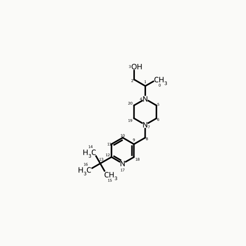 CC(CO)N1CCN(Cc2ccc(C(C)(C)C)nc2)CC1